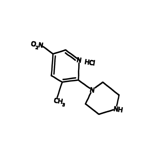 Cc1cc([N+](=O)[O-])cnc1N1CCNCC1.Cl